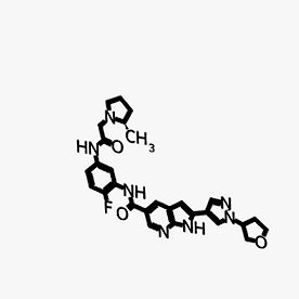 C[C@H]1CCCN1CC(=O)Nc1ccc(F)c(NC(=O)c2cnc3[nH]c(-c4cnn(C5CCOC5)c4)cc3c2)c1